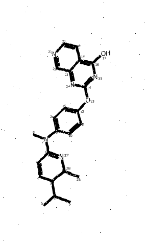 CC(C)C1C=CC(N(C)c2ccc(Oc3nc(O)c4ccncc4n3)cc2)=NC1C